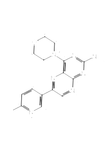 Nc1nc(N2CCOCC2)c2nc(-c3ccc(F)nc3)cnc2n1